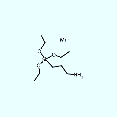 CCO[Si](CCCN)(OCC)OCC.[Mn]